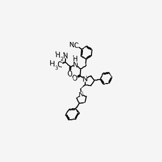 CC(N)C(=O)NC(Cc1cccc(C#N)c1)C(=O)N1CC(c2ccccc2)CC1CN1CCC(c2ccccc2)C1